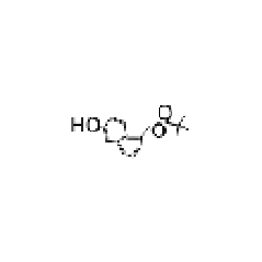 CC(C)(C)C(=O)OCc1cccc2cc(O)ccc12